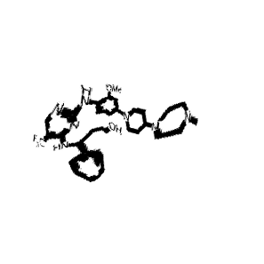 COc1cc(N2CCC(N3CCN(C)CC3)CC2)ccc1Nc1ncc(C(F)(F)F)c(NC(CCO)c2ccccc2)n1